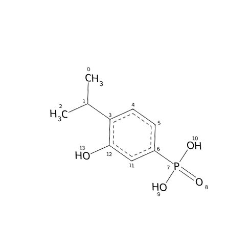 CC(C)c1ccc(P(=O)(O)O)cc1O